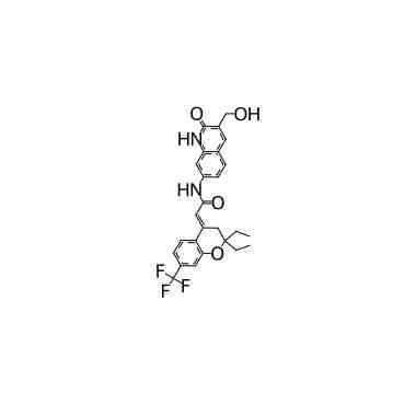 CCC1(CC)C/C(=C\C(=O)Nc2ccc3cc(CO)c(=O)[nH]c3c2)c2ccc(C(F)(F)F)cc2O1